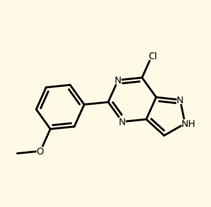 COc1cccc(-c2nc(Cl)c3n[nH]cc3n2)c1